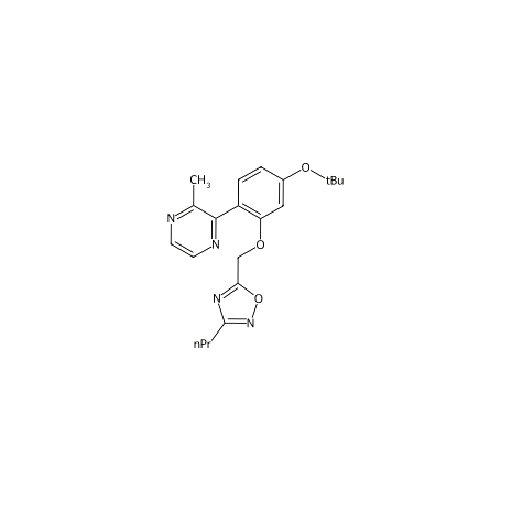 CCCc1noc(COc2cc(OC(C)(C)C)ccc2-c2nccnc2C)n1